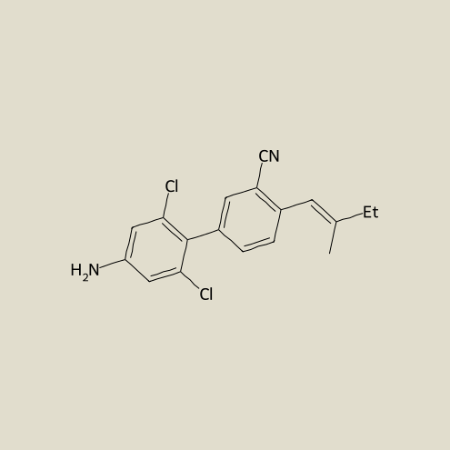 CCC(C)=Cc1ccc(-c2c(Cl)cc(N)cc2Cl)cc1C#N